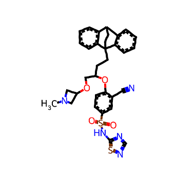 CN1CC(OCC(CCC23CCC(c4ccccc42)c2ccccc23)Oc2ccc(S(=O)(=O)Nc3ncns3)cc2C#N)C1